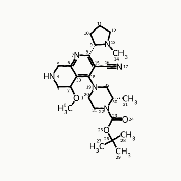 COC1CNCc2nc([C@@H]3CCCN3C)c(C#N)c(N3CCN(C(=O)OC(C)(C)C)[C@@H](C)C3)c21